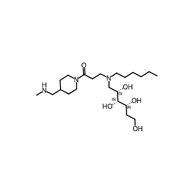 CCCCCCN(CCC(=O)N1CCC(CNC)CC1)C[C@H](O)[C@@H](O)[C@H](O)CCO